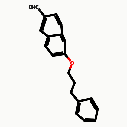 O=Cc1ccc2cc(OCCCc3ccccc3)ccc2c1